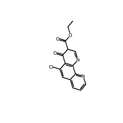 CCOC(=O)C1C=Nc2c(c(Cl)cc3cccnc23)C1=O